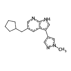 Cn1cc(-c2c[nH]c3ncc(CC4CCCC4)cc23)cn1